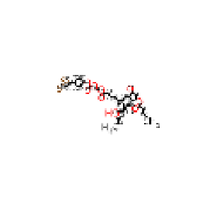 CCCCC(=O)O[C@@H]1CC(=O)[C@H](C/C=C\CCCC(=O)OCOC(=O)Oc2ccc(-c3cc(=S)ss3)cc2)[C@H]1/C=C/C[C@@](C)(O)CCCC